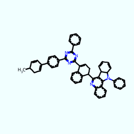 CC1C=CC(c2ccc(-c3nc(C4=CCC(c5nc6ccccc6c6c5C5C=CC=CC5N6c5ccccc5)c5ccccc54)nc(-c4ccccc4)n3)cc2)=CC1